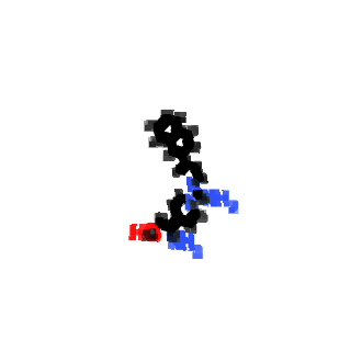 C=C(/C=C\N=C(/N)N1CCC([C@@H](N)CO)CC1)c1ccc2ccccc2c1